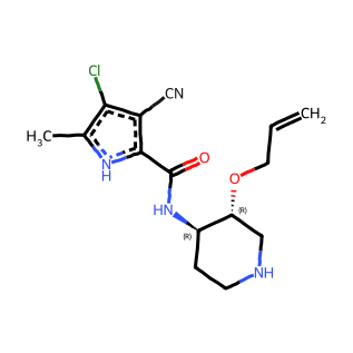 C=CCO[C@@H]1CNCC[C@H]1NC(=O)c1[nH]c(C)c(Cl)c1C#N